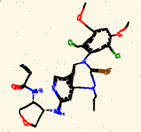 C=CC(=O)N[C@H]1COC[C@H]1Nc1cc2c(cn1)CN(c1c(Cl)c(OC)cc(OC)c1Cl)C(=S)N2CC